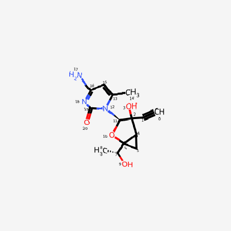 C#CC1(O)C2CC2([C@@H](C)O)O[C@H]1n1c(C)cc(N)nc1=O